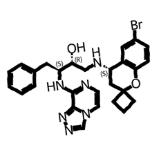 O[C@H](CN[C@H]1CC2(CCC2)Oc2ccc(Br)cc21)[C@H](Cc1ccccc1)Nc1nccn2cnnc12